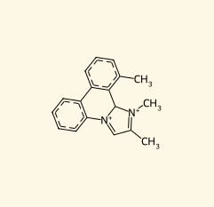 CC1=[N+](C)C2c3c(C)cccc3-c3ccccc3[N+]2=C1